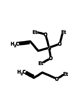 C=CCOCC.C=CC[Si](OCC)(OCC)OCC